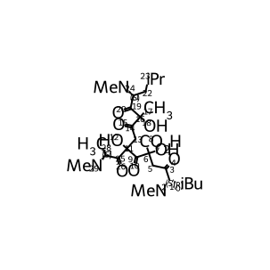 CC[C@@H](C)[C@H](NC)C(=O)CC(O)(C(=O)O)C(=O)C(O)(CC(=O)C(C)(O)C(=O)[C@H](CC(C)C)NC)C(=O)[C@H](C)NC